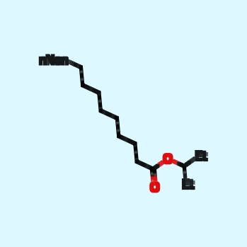 CCCCCCCCCCCCCCCCCC(=O)OC(CC)CC